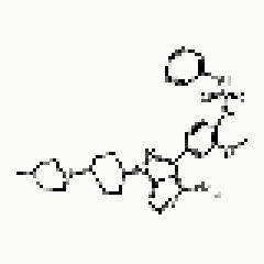 COc1cc(-c2nn(C3CCC(N4CCN(C)CC4)CC3)c3ncnc(N)c23)ccc1NS(=O)(=O)Nc1ccccc1